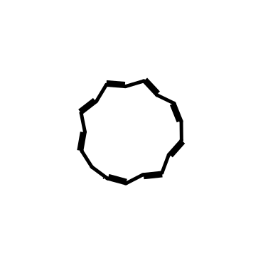 [C]1=C/C=C/C=C/C=C\C=C\C=C\C=C\C=C\C\1